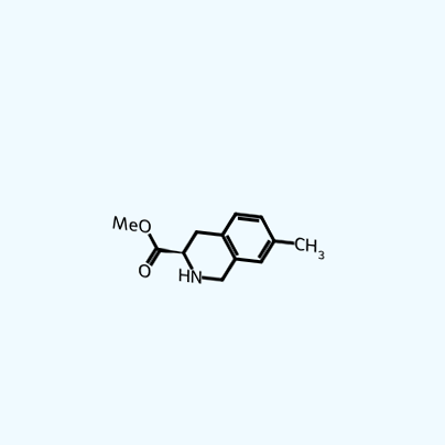 COC(=O)[C@H]1Cc2ccc(C)cc2CN1